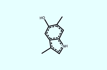 Cc1cc2[nH]cc(C)c2cc1O